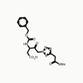 CNC(=O)Cc1nnn(CC(=O)C(CC(=O)O)NC(=O)OCc2ccccc2)n1